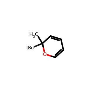 CC(C)(C)C1(C)C=CC=CO1